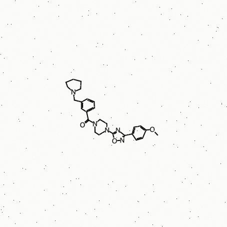 COc1ccc(-c2noc(N3CCN(C(=O)c4cccc(CN5CCCCC5)c4)CC3)n2)cc1